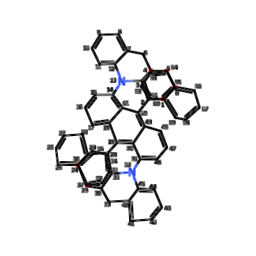 c1ccc2c(c1)Cc1ccccc1N2c1cccc2c(-c3cccc4ccccc34)c3c(N4c5ccccc5Cc5ccccc54)cccc3c(-c3cccc4ccccc34)c12